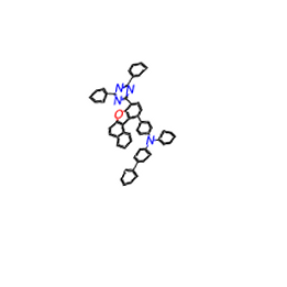 c1ccc(-c2ccc(N(c3ccccc3)c3ccc(-c4ccc(-c5nc(-c6ccccc6)nc(-c6ccccc6)n5)c5oc6ccc7ccccc7c6c45)cc3)cc2)cc1